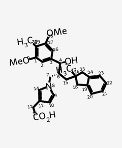 COc1cc([C@@H](O)[C@@H](Cn2ccc(CC(=O)O)c2)CC2(C)Cc3ccccc3C2)cc(OC)c1C